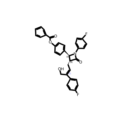 O=C(Oc1ccc([C@@H]2[C@@H](C/C=C(\CO)c3ccc(F)cc3)C(=O)N2c2ccc(F)cc2)cc1)c1ccccc1